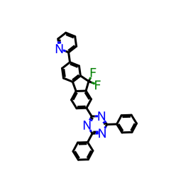 FC1(F)c2cc(-c3ccccn3)ccc2-c2ccc(-c3nc(-c4ccccc4)nc(-c4ccccc4)n3)cc21